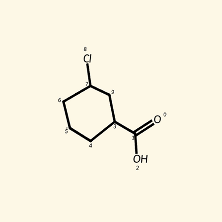 O=C(O)C1C[CH]CC(Cl)C1